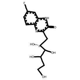 O=c1[nH]c2cc(F)ccc2nc1C[C@@H](O)C(O)C(O)CCO